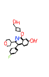 OC[C@H]1C[C@H](Oc2nc(C3CCOCC3)c(-c3ccc(F)cc3)c3ccc(O)cc23)C1